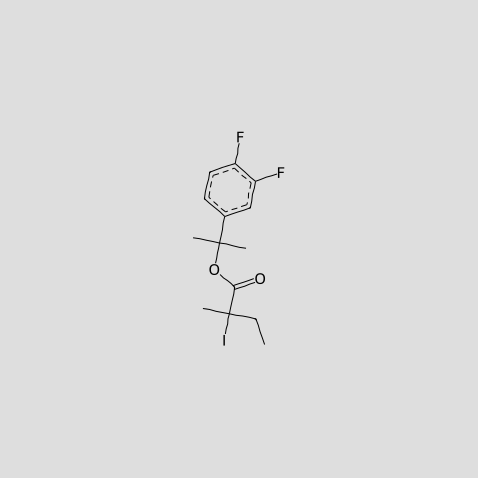 CCC(C)(I)C(=O)OC(C)(C)c1ccc(F)c(F)c1